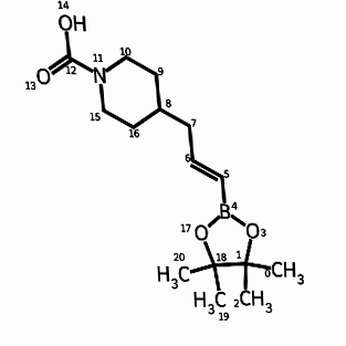 CC1(C)OB(/C=C/CC2CCN(C(=O)O)CC2)OC1(C)C